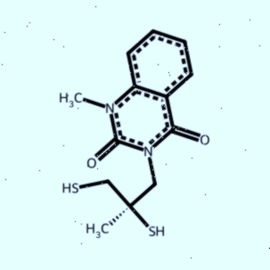 Cn1c(=O)n(C[C@@](C)(S)CS)c(=O)c2ccccc21